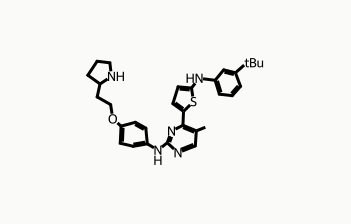 Cc1cnc(Nc2ccc(OCCC3CCCN3)cc2)nc1-c1ccc(Nc2cccc(C(C)(C)C)c2)s1